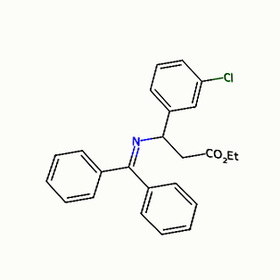 CCOC(=O)CC(N=C(c1ccccc1)c1ccccc1)c1cccc(Cl)c1